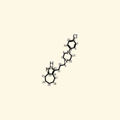 Clc1ccc(N2CCN(CCCc3[nH]nc4c3CCCCC4)CC2)cc1